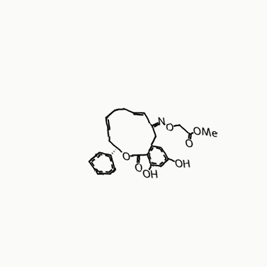 COC(=O)CON=C1/C=C/CC/C=C/C[C@@H](c2ccccc2)OC(=O)c2c(O)cc(O)cc2C1